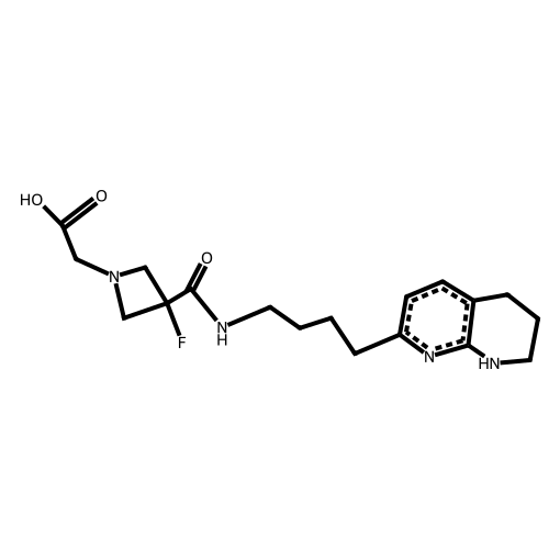 O=C(O)CN1CC(F)(C(=O)NCCCCc2ccc3c(n2)NCCC3)C1